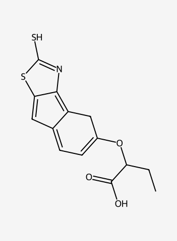 CCC(OC1=CC=C2C=c3sc(S)nc3=C2C1)C(=O)O